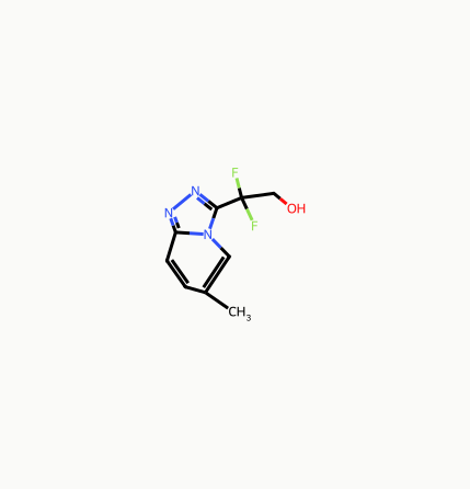 Cc1ccc2nnc(C(F)(F)CO)n2c1